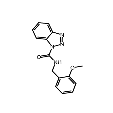 COc1ccccc1CNC(=O)n1nnc2ccccc21